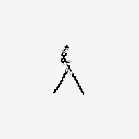 CCCCCCCCCCCCCCOC[C@H](CNC(=O)c1cccc(C2CCN(C(=O)OC(C)(C)C)CC2)c1)OCCCCCCCCCCCCCC